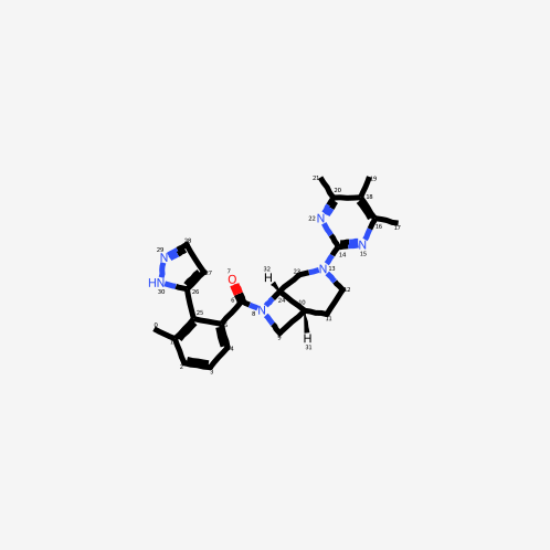 Cc1cccc(C(=O)N2C[C@H]3CCN(c4nc(C)c(C)c(C)n4)C[C@H]32)c1-c1ccn[nH]1